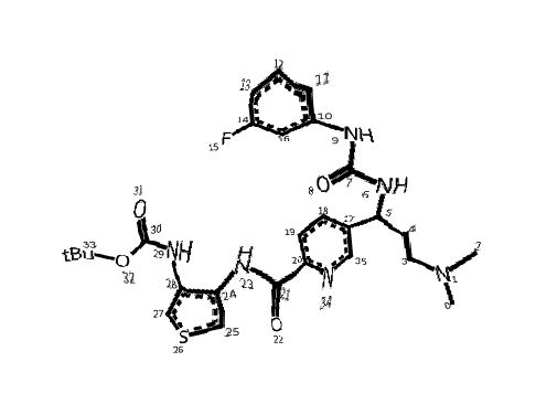 CN(C)CCC(NC(=O)Nc1cccc(F)c1)c1ccc(C(=O)Nc2cscc2NC(=O)OC(C)(C)C)nc1